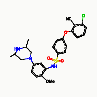 COc1ccc(N2CC(C)NC(C)C2)cc1NS(=O)(=O)c1ccc(Oc2cccc(Cl)c2C#N)cc1